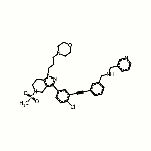 CS(=O)(=O)N1CCc2c(c(-c3ccc(Cl)c(C#Cc4cccc(CNCc5cccnc5)c4)c3)nn2CCCN2CCOCC2)C1